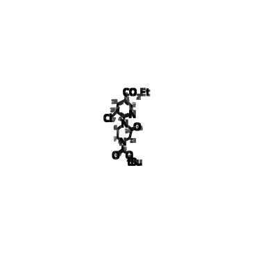 CCOC(=O)c1cnc(N2CCN(C(=O)OC(C)(C)C)CC2=O)c(Cl)c1